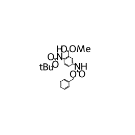 COC(=O)c1cc(NC(=O)OCc2ccccc2)ccc1NC(=O)OC(C)(C)C